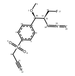 CO[C@H](c1ccc(S(=O)(=O)CC#N)cc1)[C@@H](CF)N=[N+]=[N-]